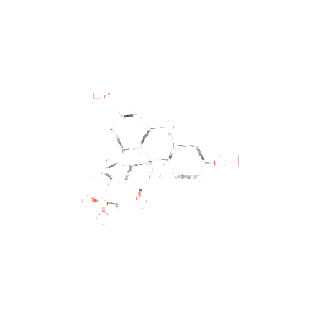 O=C1OC2(c3ccc(O)cc3Oc3cc(O)ccc32)c2cccc(S(=O)(=O)Cl)c21